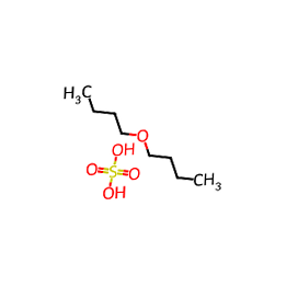 CCCCOCCCC.O=S(=O)(O)O